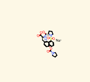 O=C([O-])[C@H](Cc1ccc(OC(=O)N2CCCC2)cc1)NC(=O)[C@@H]1CCCN1S(=O)(=O)c1ccccc1.[Na+]